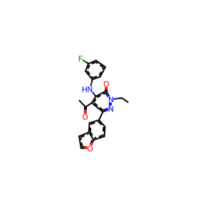 CCn1nc(-c2ccc3occc3c2)c(C(C)=O)c(Nc2cccc(F)c2)c1=O